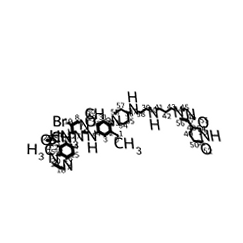 CCc1cc(Nc2ncc(Br)c(Nc3ccc4nccnc4c3P(C)(C)=O)n2)c(OC)cc1N1CCC(NCCNCCCn2cnc(C3CCC(=O)NC3=O)c2)CC1